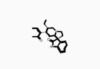 CC=C(C(C)=O)[C@H]1CC2N(CC[C@@]23C(=O)Nc2ccccc23)C[C@@H]1CC